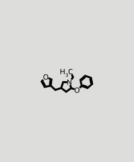 CCN1CC(Cc2ccoc2)CC1Oc1ccccc1